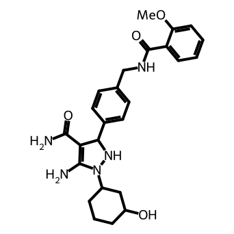 COc1ccccc1C(=O)NCc1ccc(C2NN(C3CCCC(O)C3)C(N)=C2C(N)=O)cc1